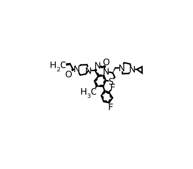 C=CC(=O)N1CCN(c2nc(=O)n3c4c(c(-c5ccc(F)cc5F)c(C)cc24)SC[C@@H]3CN2CCN(C3CC3)CC2)CC1